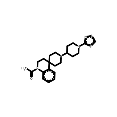 CC(=O)N1CCC2(CCN(C3CCN(c4nncs4)CC3)CC2)c2ccccc21